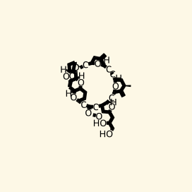 C=C1C2C[C@@H]3OC(CC(O)CO)[C@H](OC)C3CC(=O)CC3CCC4O[C@@H]5C6O[C@@H]7C[C@](CCC8CC(=C)[C@H](CC[C@@H](C[C@H]1C)O2)O8)(OC6[C@H]4O3)OC57